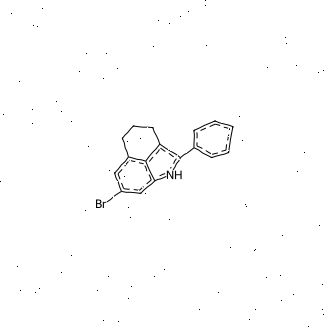 Brc1cc2c3c(c(-c4ccccc4)[nH]c3c1)CCC2